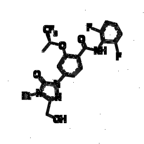 CCn1c(CO)nn(-c2ccc(C(=O)Nc3c(F)cccc3F)c(O[C@@H](C)C(F)(F)F)c2)c1=O